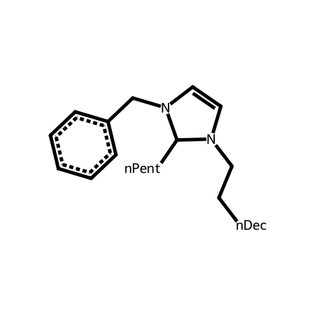 CCCCCCCCCCCCN1C=CN(Cc2ccccc2)C1CCCCC